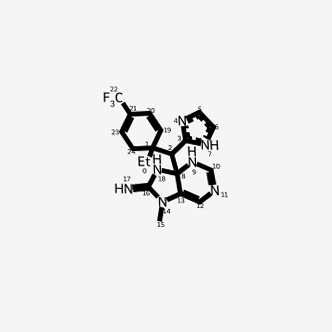 CCC1(C(c2ncc[nH]2)C23NC=NC=C2N(C)C(=N)N3)C=CC(C(F)(F)F)=CC1